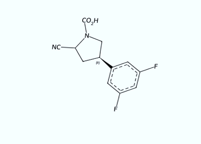 N#CC1C[C@H](c2cc(F)cc(F)c2)CN1C(=O)O